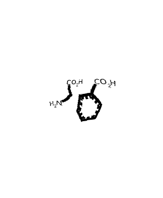 NCC(=O)O.O=C(O)c1ccccc1